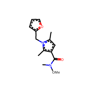 CON(C)C(=O)c1cc(C)n(Cc2ccco2)c1C